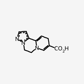 O=C(O)C1=CN2CCn3nccc3C2=CC1